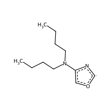 CCCCN(CCCC)c1co[c]n1